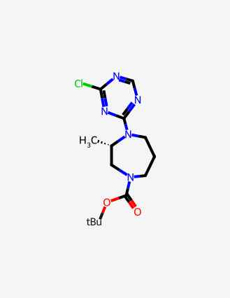 C[C@H]1CN(C(=O)OC(C)(C)C)CCCN1c1ncnc(Cl)n1